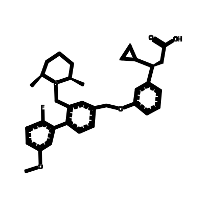 COc1ccc(F)c(-c2ccc(COc3cccc([C@H](CC(=O)O)C4CC4)c3)cc2CN2[C@H](C)CCC[C@@H]2C)c1